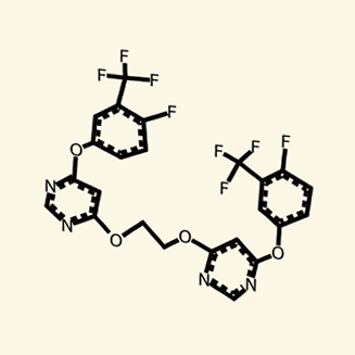 Fc1ccc(Oc2cc(OCCOc3cc(Oc4ccc(F)c(C(F)(F)F)c4)ncn3)ncn2)cc1C(F)(F)F